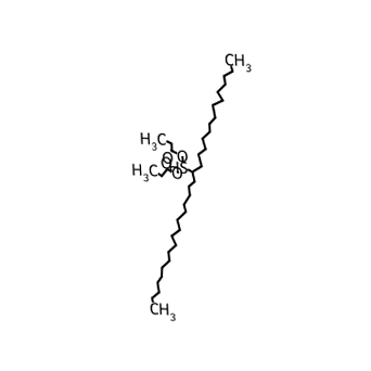 CCCCCCCCCCCCCCCCCC(CCCCCCCCCCCCCC)[SH](OC(=O)CC)OC(=O)CC